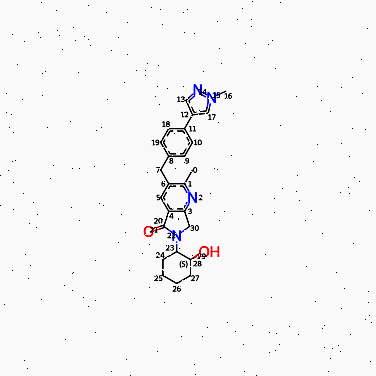 Cc1nc2c(cc1Cc1ccc(-c3cnn(C)c3)cc1)C(=O)N(C1CCCC[C@@H]1O)C2